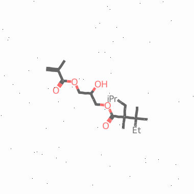 C=C(C)C(=O)OCC(O)COC(=O)C(C)(CC(C)C)C(C)(C)CC